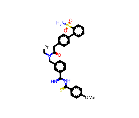 COc1ccc(C(=S)NC(=N)c2cccc(CN(CC(C)C)C(=O)Cc3ccc(-c4ccccc4S(N)(=O)=O)cc3)c2)cc1